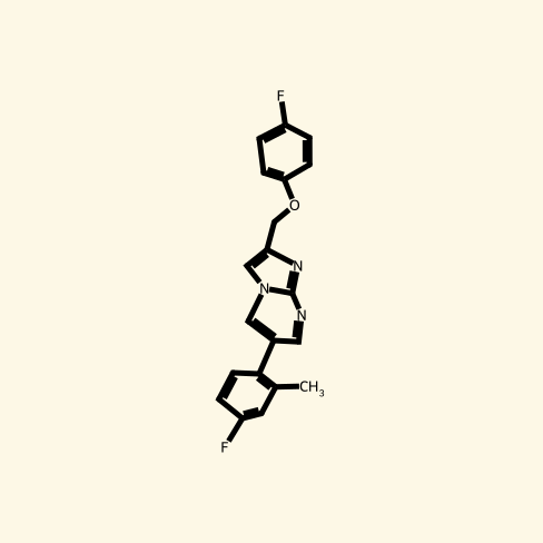 Cc1cc(F)ccc1-c1cnc2nc(COc3ccc(F)cc3)cn2c1